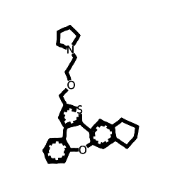 c1ccc2c(c1)Oc1cc3c(cc1-c1sc(COCCN4CCCC4)cc1-2)CCCC3